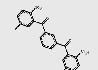 Cc1ccc(S(=O)(=O)O)c(C(=O)c2cccc(C(=O)c3cc(C)ccc3S(=O)(=O)O)c2)c1